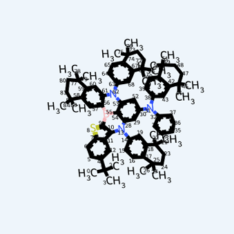 CC(C)(C)c1ccc2sc3c(c2c1)N(c1ccc2c(c1)C(C)(C)CCC2(C)C)c1cc(N(c2ccccc2)c2ccc4c(c2)C(C)(C)CCC4(C)C)cc2c1B3c1cc3c(cc1N2c1ccc2c(c1)C(C)(C)CCC2(C)C)C(C)(C)CCC3(C)C